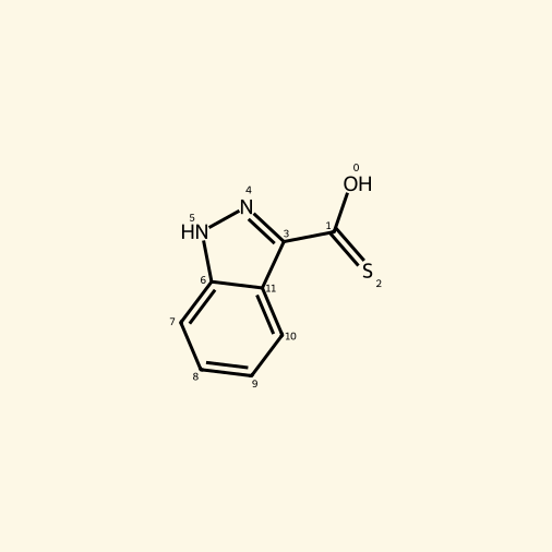 OC(=S)c1n[nH]c2ccccc12